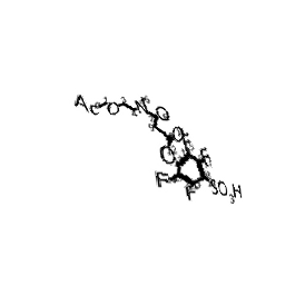 CC(=O)COCCN(C)C(=O)CC(=O)Oc1c(F)c(F)c(S(=O)(=O)O)c(F)c1F